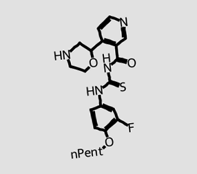 CCCCCOc1ccc(NC(=S)NC(=O)c2cnccc2C2CNCCO2)cc1F